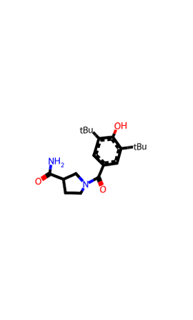 CC(C)(C)c1cc(C(=O)N2CCC(C(N)=O)C2)cc(C(C)(C)C)c1O